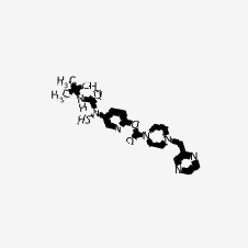 CC(C)(C)NC(=O)N(S)c1ccc(OC(=O)N2CCN(Cc3cnccn3)CC2)nc1